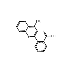 CC1=C2CC=CC=C2SC(c2ccccc2C(O)=S)=C1